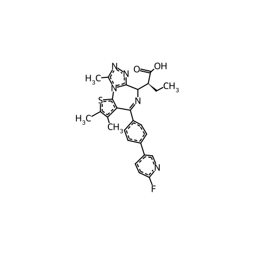 CC[C@H](C(=O)O)C1N=C(c2ccc(-c3ccc(F)nc3)cc2)c2c(sc(C)c2C)-n2c(C)nnc21